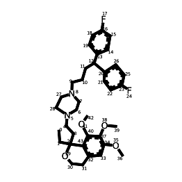 CCC1(CCN2CCN(CCCC(c3ccc(F)cc3)c3ccc(F)cc3)CC2)OCCc2cc(OC)c(OC)c(OC)c21